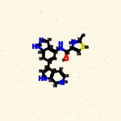 Cc1nc(C(=O)Nc2cc(-c3c[nH]c4cnccc34)cc3[nH]ncc23)cs1